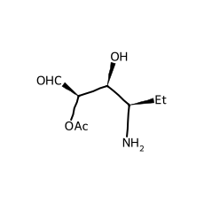 CC[C@@H](N)[C@H](O)[C@H](C=O)OC(C)=O